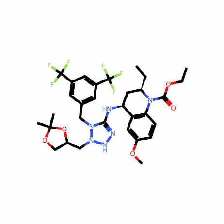 CCOC(=O)N1c2ccc(OC)cc2[C@@H](NC2=NNN(CC3COC(C)(C)O3)N2Cc2cc(C(F)(F)F)cc(C(F)(F)F)c2)C[C@H]1CC